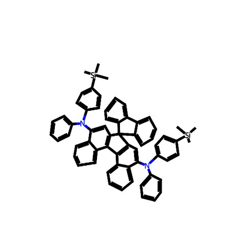 C[Si](C)(C)c1ccc(N(c2ccccc2)c2cc3c(c4ccccc24)-c2c(cc(N(c4ccccc4)c4ccc([Si](C)(C)C)cc4)c4ccccc24)C32c3ccccc3-c3ccccc32)cc1